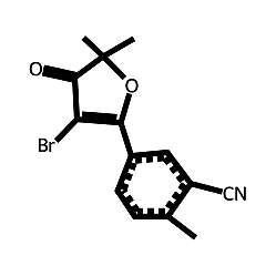 Cc1ccc(C2=C(Br)C(=O)C(C)(C)O2)cc1C#N